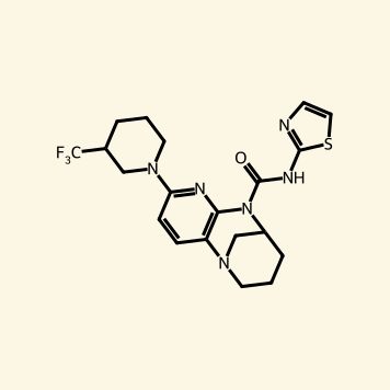 O=C(Nc1nccs1)N1c2nc(N3CCCC(C(F)(F)F)C3)ccc2N2CCCC1C2